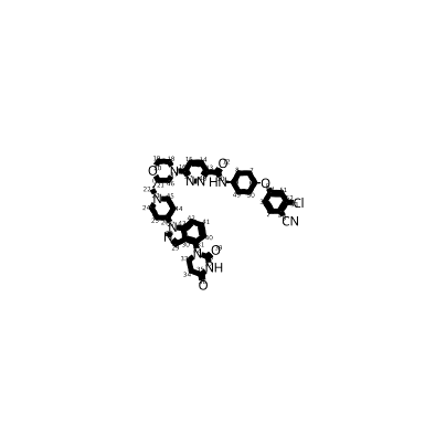 N#Cc1ccc(O[C@H]2CC[C@H](NC(=O)c3ccc(N4CCO[C@@H](CN5CCC(n6ncc7c(N8CCC(=O)NC8=O)cccc76)CC5)C4)nn3)CC2)cc1Cl